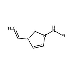 C=CN1C=CN(NCC)C1